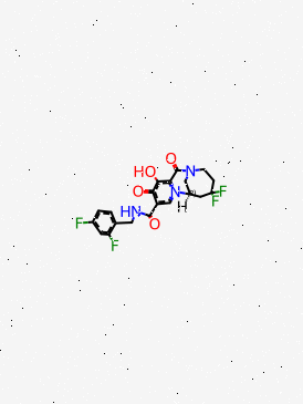 O=C(NCc1ccc(F)cc1F)c1cn2c(c(O)c1=O)C(=O)N1CCC(F)(F)C[C@@H]2C1